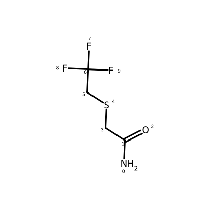 NC(=O)CSCC(F)(F)F